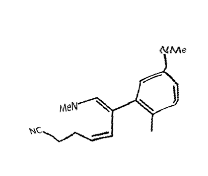 CN/C=C(\C=C/CCC#N)c1cc(NC)ccc1C